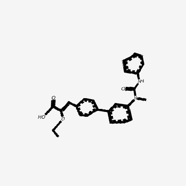 CCO/C(=C\c1ccc(-c2cccc(N(C)C(=O)Nc3ccccc3)c2)cc1)C(=O)O